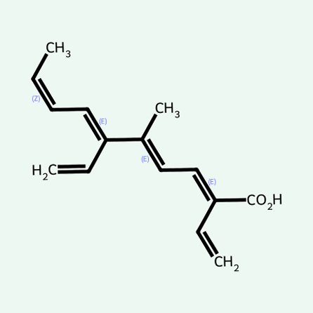 C=C\C(=C/C=C(C)/C(C=C)=C/C=C\C)C(=O)O